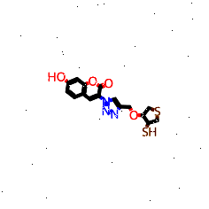 O=c1oc2cc(O)ccc2cc1-n1cc(COC2CSCC2S)nn1